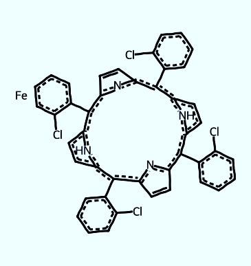 Clc1ccccc1-c1c2nc(c(-c3ccccc3Cl)c3ccc([nH]3)c(-c3ccccc3Cl)c3nc(c(-c4ccccc4Cl)c4ccc1[nH]4)C=C3)C=C2.[Fe]